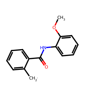 [CH2]c1ccccc1C(=O)Nc1ccccc1OC